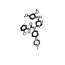 COc1ccc(Nc2cc(N(C(=O)Nc3ccccc3Cl)c3ccc(N4CCN(I)CC4)cc3)ncn2)c(OC)c1